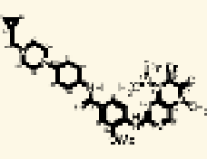 CCCN(C)N1c2nc(Nc3ccc(C(=O)NC4CCC(N5CCN(CC6CC6)CC5)CC4)cc3OC)ncc2N(C)C(=O)C1CC